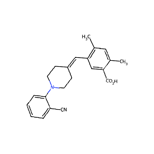 Cc1cc(C)c(C(=O)O)cc1C=C1CCN(c2ccccc2C#N)CC1